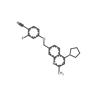 Cc1cc(N2CCCC2)c2ccc(COc3ccc(C#N)c(F)c3)cc2n1